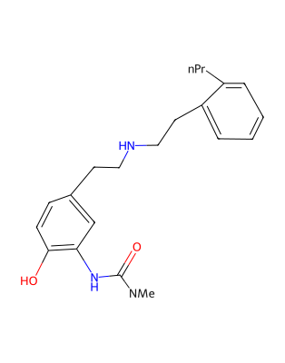 CCCc1ccccc1CCNCCc1ccc(O)c(NC(=O)NC)c1